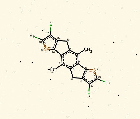 Cc1c2c(c(C)c3c1-c1sc(F)c(F)c1C3)-c1sc(F)c(F)c1C2